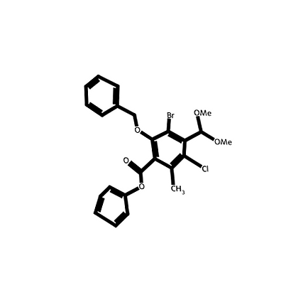 COC(OC)c1c(Cl)c(C)c(C(=O)Oc2ccccc2)c(OCc2ccccc2)c1Br